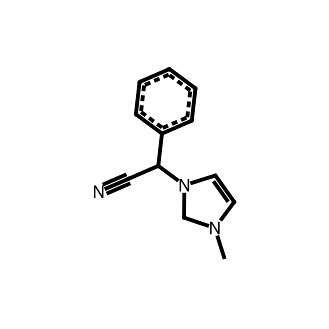 CN1C=CN(C(C#N)c2ccccc2)C1